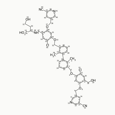 Cc1c(COc2cc(OCc3cncc(C#N)c3)c(CO)cc2Cl)cccc1-c1cccc(COc2cc(OCc3cncc(C#N)c3)c(CNC(CCO)C(=O)O)cc2Cl)c1C